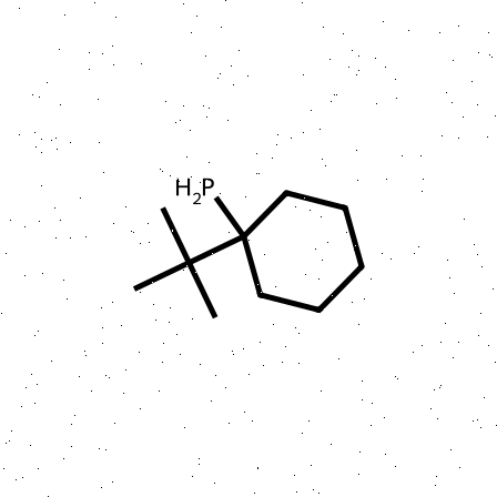 CC(C)(C)C1(P)CCCCC1